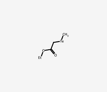 CCOC(=O)C[Te]C